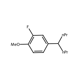 CCCC(CCC)c1ccc(OC)c(F)c1